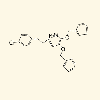 Clc1ccc(CCc2cc(OCc3ccccc3)c(OCc3ccccc3)nn2)cc1